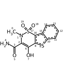 CN1C(C(N)=O)=C(O)c2sc3ccccc3c2S1(=O)=O